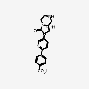 O=C(O)c1ccc(-c2ccc(N3C[C@@H]4CNCCN4C3=O)cn2)cc1